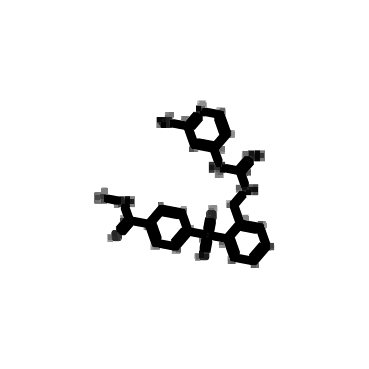 CCNC(=O)c1ccc(S(=O)(=O)c2ccccc2CNC(=N)Nc2ccnc(C#N)c2)cc1